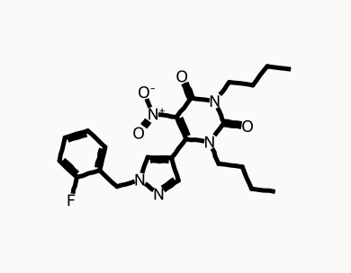 CCCCn1c(-c2cnn(Cc3ccccc3F)c2)c([N+](=O)[O-])c(=O)n(CCCC)c1=O